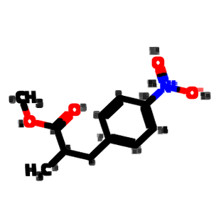 COC(=O)C(C)Cc1ccc([N+](=O)[O-])cc1